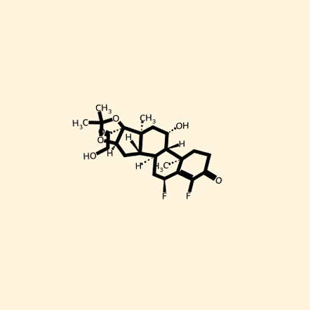 CC1(C)O[C@@H]2C[C@H]3[C@@H]4C[C@H](F)C5=C(F)C(=O)CC[C@]5(C)[C@H]4[C@@H](O)C[C@]3(C)[C@]2(C(=O)CO)O1